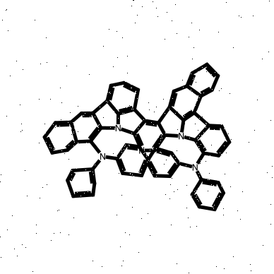 c1ccc(N(c2ccccc2)c2cccc3c4c5ccccc5cc5c6c7c8cccc9c%10cc%11ccccc%11c(N(c%11ccccc%11)c%11ccccc%11)c%10n(c7ncc6n(c23)c54)c98)cc1